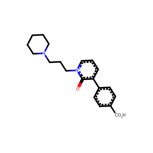 O=C(O)c1ccc(-c2cccn(CCCN3CCCCC3)c2=O)cc1